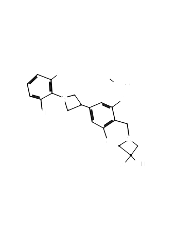 Cc1cc(C2CN(c3c(Cl)cccc3Cl)C2)cc(Cl)c1CN1CC(C)(O)C1.O=CO